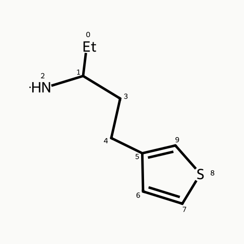 CCC([NH])CCc1ccsc1